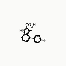 Cc1c(C(=O)O)[nH]c2cccc(-c3ccc(F)cc3)c12